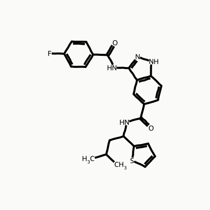 CC(C)CC(NC(=O)c1ccc2[nH]nc(NC(=O)c3ccc(F)cc3)c2c1)c1cccs1